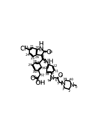 CN1CCN(CC(=O)N(C)c2ccc(N/C(=C3\C(=O)Nc4cc(Cl)ccc43)c3cccc(CC(=O)O)c3)cc2)CC1